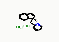 Cl.Cl.[Cr][C]1(Cc2ccccn2)C=Cc2ccccc21